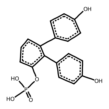 O=P(O)(O)Oc1cccc(-c2ccc(O)cc2)c1-c1ccc(O)cc1